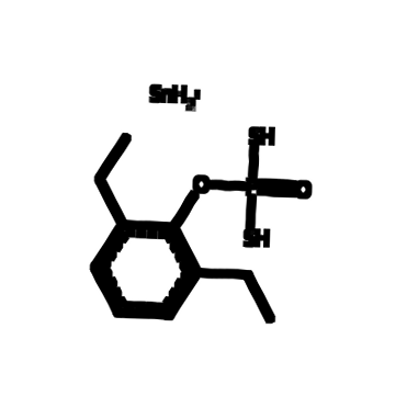 CCc1cccc(CC)c1OP(=O)(S)S.[SnH2]